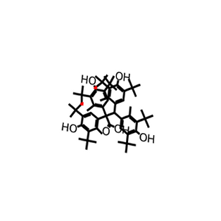 Cc1c(C(c2cc(C(C)(C)C)c(O)c(C(C)(C)C)c2C)C(C(=O)O)(c2cc(C(C)(C)C)c(O)c(C(C)(C)C)c2C)c2cc(C(C)(C)C)c(O)c(C(C)(C)C)c2C)cc(C(C)(C)C)c(O)c1C(C)(C)C